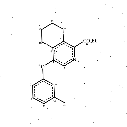 CCOC(=O)c1ncc(Oc2cccc(C)c2)c2c1CCCC2